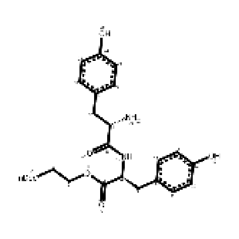 CCCCCCCCCCCCOC(=O)[C@H](Cc1ccc(O)cc1)NC(=O)[C@@H](N)Cc1ccc(O)cc1